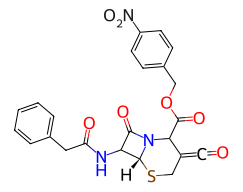 O=C=C1CS[C@@H]2C(NC(=O)Cc3ccccc3)C(=O)N2C1C(=O)OCc1ccc([N+](=O)[O-])cc1